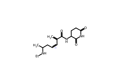 C=C(/C=C\CC(C)NCC)C(=O)NC1CCC(=O)NC1=O